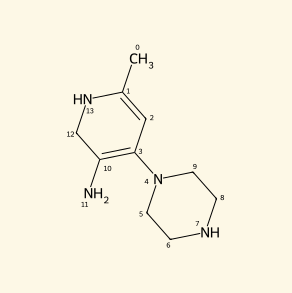 CC1=CC(N2CCNCC2)=C(N)CN1